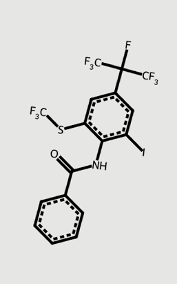 O=C(Nc1c(I)cc(C(F)(C(F)(F)F)C(F)(F)F)cc1SC(F)(F)F)c1ccccc1